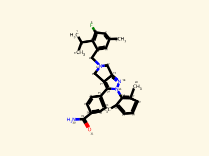 Cc1cc(F)c(C(C)C)c(CN2Cc3nn(-c4c(C)cccc4C)c(-c4ccc(C(N)=O)cc4)c3C2)c1